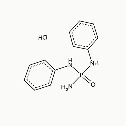 Cl.NP(=O)(Nc1ccccc1)Nc1ccccc1